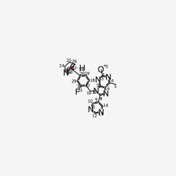 COc1nc(C)c2nc(-c3cncnc3)n(Cc3ccc([C@@H]4CN5CCC4CC5)cc3F)c2n1